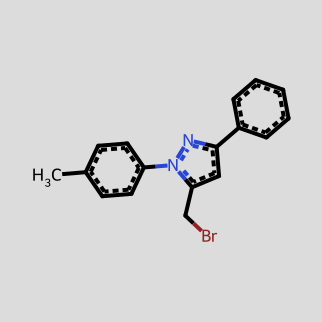 Cc1ccc(-n2nc(-c3ccccc3)cc2CBr)cc1